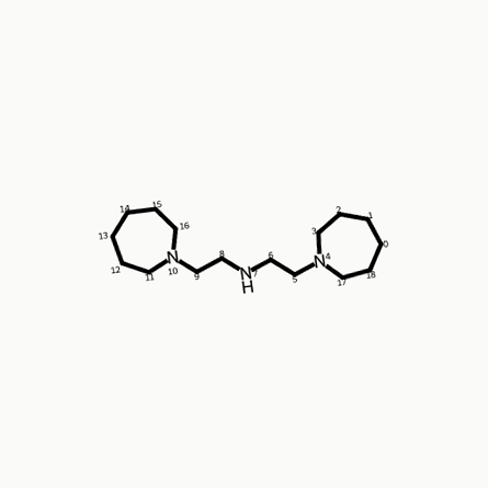 C1CCCN(CCNCCN2CCCCCC2)CC1